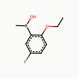 CCOc1ccc(F)cc1B(C)O